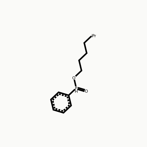 CC(C)CCCCO[PH](=O)c1ccccc1